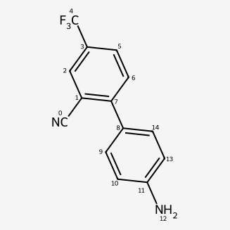 N#Cc1cc(C(F)(F)F)ccc1-c1ccc(N)cc1